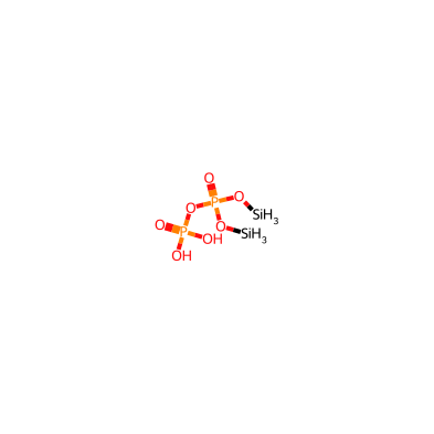 O=P(O)(O)OP(=O)(O[SiH3])O[SiH3]